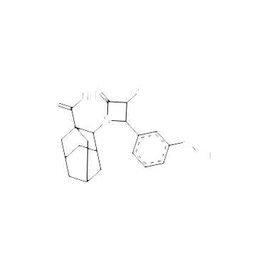 COc1cccc(C2C(Cl)C(=O)N2C2C3CC4CC(C3)CC2(C(N)=O)C4)c1